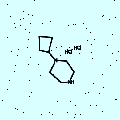 C1CC(N2CCNCC2)C1.Cl.Cl